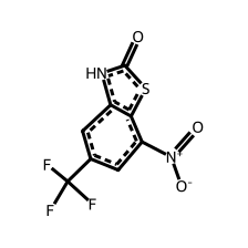 O=c1[nH]c2cc(C(F)(F)F)cc([N+](=O)[O-])c2s1